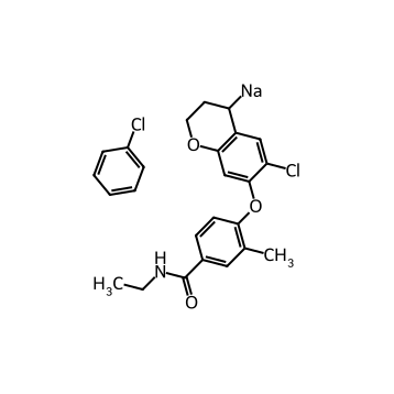 CCNC(=O)c1ccc(Oc2cc3c(cc2Cl)[CH]([Na])CCO3)c(C)c1.Clc1ccccc1